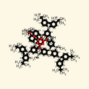 CSN1c2cc3c(cc2B2c4cc5c(cc4Oc4cc(-n6c7ccc(C(C)(C)C)cc7c7cc(C(C)(C)C)ccc76)cc1c42)N(SC)c1cc(-n2c4ccc(C(C)(C)C)cc4c4cc(C(C)(C)C)ccc42)cc2c1B5c1cc(C(C)(C)C)cc4c5cc(C(C)(C)C)ccc5n-2c14)B1c2c(cc(-n4c5ccc(C(C)(C)C)cc5c5cc(C(C)(C)C)ccc54)cc2-n2c4ccc(C(C)(C)C)cc4c4cc(C(C)(C)C)cc1c42)N3